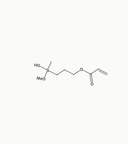 C=CC(=O)OCCC[Si](C)(O)OC